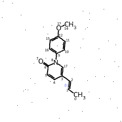 C/C=C/c1ccc(=O)n(-c2ccc(OC)cc2)c1